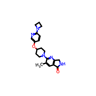 Cc1cc2c(nc1N1CCC(Oc3ccc(N4CCC4)nc3)CC1)CNC2=O